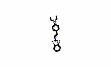 CCN(CC)c1ccc(/C=C/c2nc3ccccc3o2)cc1